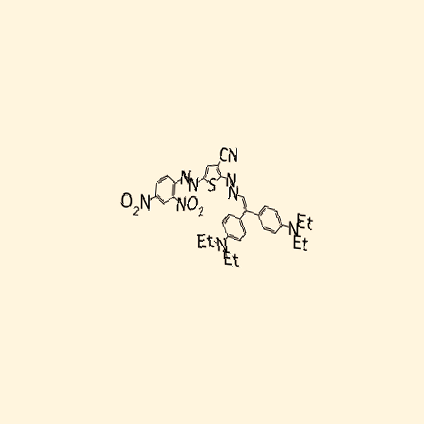 CCN(CC)c1ccc(C(=CN=Nc2sc(N=Nc3ccc([N+](=O)[O-])cc3[N+](=O)[O-])cc2C#N)c2ccc(N(CC)CC)cc2)cc1